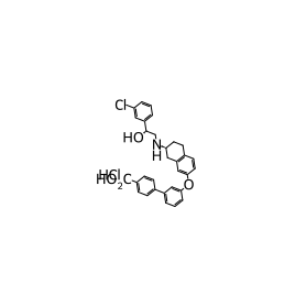 Cl.O=C(O)c1ccc(-c2cccc(Oc3ccc4c(c3)C[C@@H](NC[C@@H](O)c3cccc(Cl)c3)CC4)c2)cc1